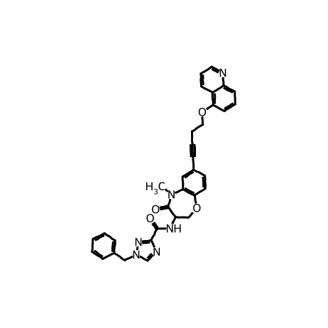 CN1C(=O)C(NC(=O)c2ncn(Cc3ccccc3)n2)COc2ccc(C#CCCOc3cccc4ncccc34)cc21